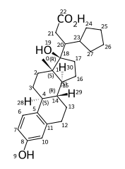 C[C@]12CC[C@@H]3c4ccc(O)cc4CC[C@H]3[C@@H]1CC[C@@]2(O)C(CC(=O)O)C1CCCC1